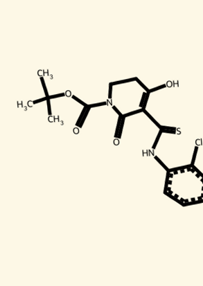 CC(C)(C)OC(=O)N1CCC(O)=C(C(=S)Nc2ccccc2Cl)C1=O